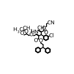 CC1=C(C(=O)OCCC#N)C(c2cccc(Cl)c2)C(C(=O)OCCC(c2ccccc2)c2ccccc2)=C(COCC2COC(C)(C)O2)N1